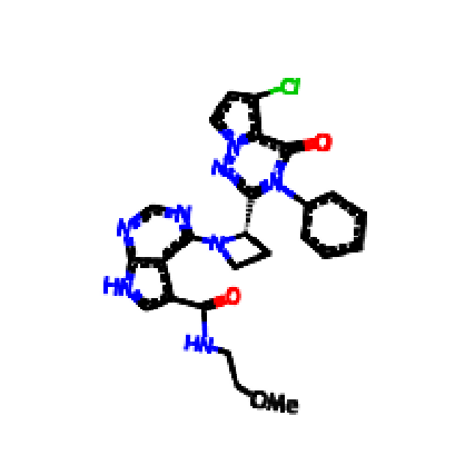 COCCNC(=O)c1c[nH]c2ncnc(N3CC[C@H]3c3nn4ccc(Cl)c4c(=O)n3-c3ccccc3)c12